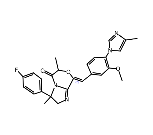 COc1cc(/C=C2\OC(C)C(=O)N3C2=NCC3(C)c2ccc(F)cc2)ccc1-n1cnc(C)c1